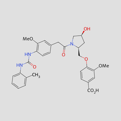 COc1cc(CC(=O)N2C[C@@H](O)C[C@H]2COc2ccc(C(=O)O)cc2OC)ccc1NC(=O)Nc1ccccc1C